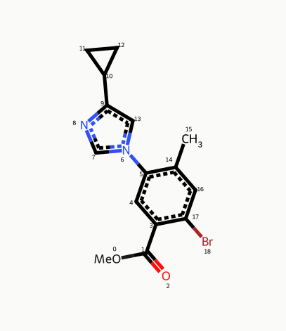 COC(=O)c1cc(-n2cnc(C3CC3)c2)c(C)cc1Br